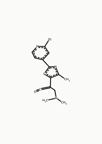 CCc1cc(-c2nc(C)c(C(=C=O)CN(C)C)s2)ccn1